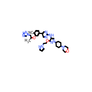 CC(Cn1cnnn1)Oc1cc(-c2cnc(Nc3cn(C4CCC(N5CCOCC5)CC4)nc3OCCn3cccn3)nc2)ccc1C#N